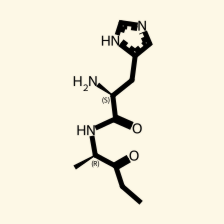 CCC(=O)[C@@H](C)NC(=O)[C@@H](N)Cc1cnc[nH]1